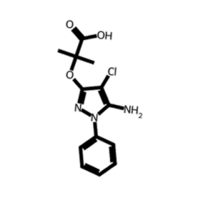 CC(C)(Oc1nn(-c2ccccc2)c(N)c1Cl)C(=O)O